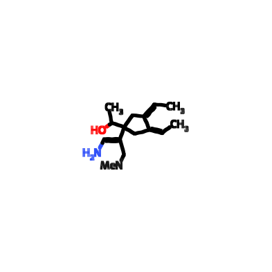 C/C=C1/CC(/C(=C/N)CNC)(C(C)O)C/C1=C/C